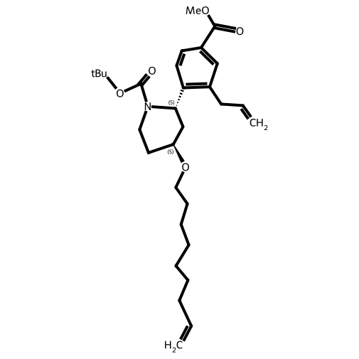 C=CCCCCCCCO[C@H]1CCN(C(=O)OC(C)(C)C)[C@H](c2ccc(C(=O)OC)cc2CC=C)C1